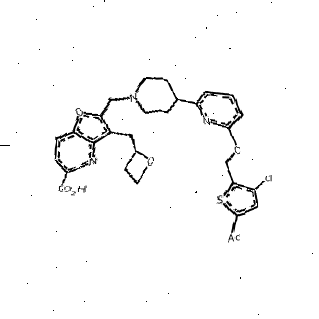 CC(=O)c1cc(Cl)c(COc2cccc(C3CCN(Cc4oc5ccc(C(=O)O)nc5c4C[C@@H]4CCO4)CC3)n2)s1